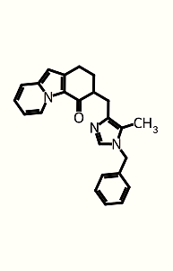 Cc1c(CC2CCc3cc4ccccn4c3C2=O)ncn1Cc1ccccc1